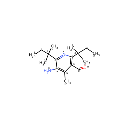 CCC(C)(C)c1nc(C(C)(C)CC)c(C=O)c(C)c1N